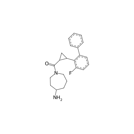 NC1CCCN(C(=O)C2CC2c2c(F)cccc2-c2ccccc2)CC1